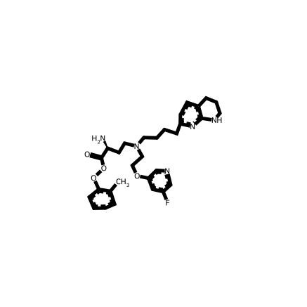 Cc1ccccc1OOC(=O)[C@@H](N)CCN(CCCCc1ccc2c(n1)NCCC2)CCOc1cncc(F)c1